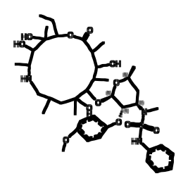 CCC1OC(=O)C(C)C(O)C(C)C(O[C@H]2O[C@@H](C)C[C@@H](N(C)S(=O)(=O)Nc3ccccc3)[C@@H]2Oc2ccc(OC)cc2)C(C)(O)CC(C)CNC(C)C(O)C1(C)O